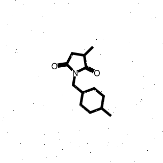 CC1CCC(CN2C(=O)CC(C)C2=O)CC1